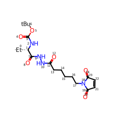 C[CH][C@H](NC(=O)OC(C)(C)C)C(=O)NNC(=O)CCCCCN1C(=O)C=CC1=O